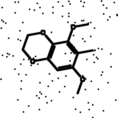 [CH2]c1c(OC)cc2c(c1OC)OCCO2